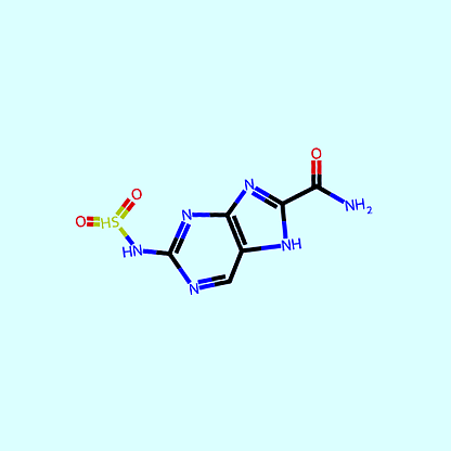 NC(=O)c1nc2nc(N[SH](=O)=O)ncc2[nH]1